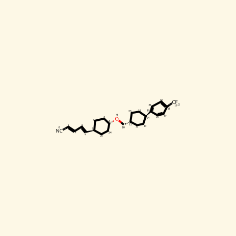 N#CC=CC=C[C@H]1CC[C@H](OC[C@H]2CC[C@H](c3ccc(C(F)(F)F)cc3)CC2)CC1